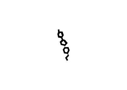 CCC[C@H]1CC[C@H](C2C=CC(c3ccc(C)cc3)=CC2)CC1